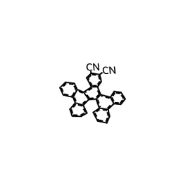 N#Cc1cc2c(cc1C#N)c1c3ccccc3c3ccccc3c1c1c3ccccc3c3ccccc3c21